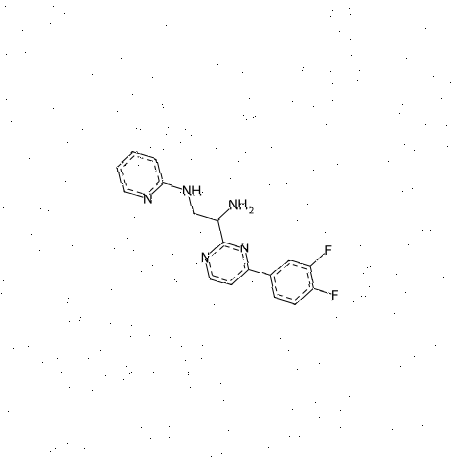 NC(CNc1ccccn1)c1nccc(-c2ccc(F)c(F)c2)n1